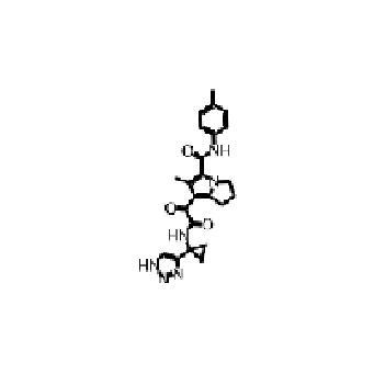 Cc1ccc(NC(=O)c2c(C)c(C(=O)C(=O)NC3(c4c[nH]nn4)CC3)c3n2CCC3)cc1